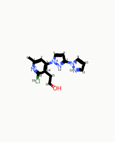 Cc1cc(-n2ccc(-n3cccn3)n2)c(CCO)c(Cl)n1